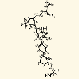 CC(=N)NCC[C@@H]1CCC[C@@H](c2ccc(-n3cc4cc(-c5cc(CCCC(N)C6CC6)cc(C(F)(F)F)c5F)[nH]c4nc3=O)cc2)N1